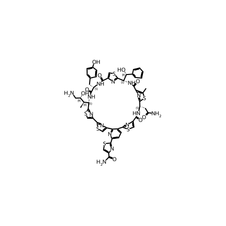 Cc1sc2nc1C(=O)N[C@@H]([C@H](O)c1ccccc1)c1nc(cs1)C(=O)N[C@@H](Cc1ccc(O)cc1)C(=O)N[C@@H]([C@@H](C)[C@@H](O)CN)c1nc(cs1)-c1nc(cs1)-c1nc(-c3nc(C(N)=O)cs3)ccc1-c1nc(cs1)C(=O)N[C@H]2CC(N)=O